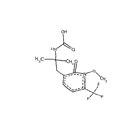 COn1c(C(F)(F)F)ccc(CC(C)(C)NC(=O)O)c1=O